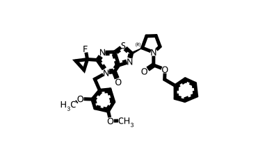 COc1ccc(Cn2c(C3(F)CC3)nc3sc([C@H]4CCCN4C(=O)OCc4ccccc4)nc3c2=O)c(OC)c1